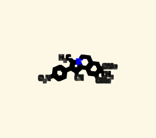 COC1=CC2=C(CCn3c(C)c(-c4ccc([N+](=O)[O-])cc4)c(C#N)c32)CC1(C)OC